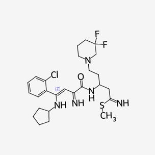 CSC(=N)CC(CCN1CCCC(F)(F)C1)NC(=O)C(=N)/C=C(\NC1CCCC1)c1ccccc1Cl